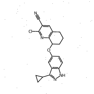 N#Cc1cc2c(nc1Cl)C(Oc1ccc3[nH]nc(C4CC4)c3c1)CCC2